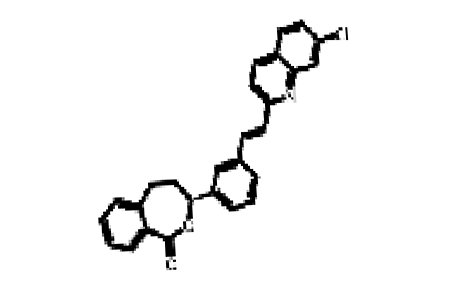 O=C1O[C@H](c2cccc(C=Cc3ccc4ccc(Cl)cc4n3)c2)CCc2ccccc21